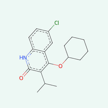 CC(C)c1c(OC2CCCCC2)c2cc(Cl)ccc2[nH]c1=O